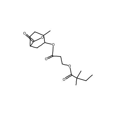 CCC(C)(C)C(=O)OCCC(=O)OC1CC2CCC1(C)OC2=O